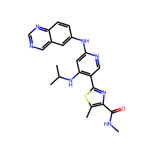 CNC(=O)c1nc(-c2cnc(Nc3ccc4ncncc4c3)cc2NC(C)C)sc1C